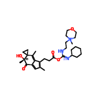 CC1=C(CCC(=O)O/C(=N/C2CCCCC2)NCC[N+]2(C)CCOCC2)C2=C(C)C3(CC3)[C@@](C)(O)C(=O)C2=C1